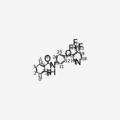 Cc1ccc(C)c(C(=O)Nc2ccc(Oc3cnccc3C(F)(F)F)cc2)c1F